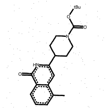 Cc1cccc2c(=O)[nH]c(C3CCN(C(=O)OC(C)(C)C)CC3)cc12